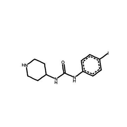 O=C(Nc1ccc(I)cc1)NC1CCNCC1